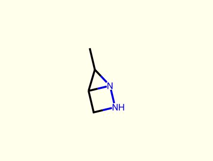 CC1C2CNN12